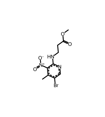 COC(=O)CCNc1ncc(Br)c(C)c1[N+](=O)[O-]